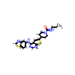 CCCNC(=O)N1CC=C(c2cc3c(Nc4ccc5scnc5c4)ncnc3s2)CC1